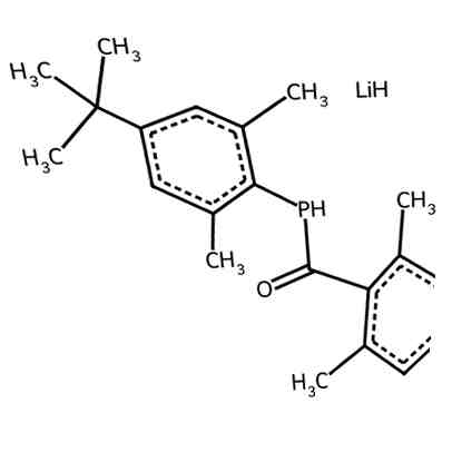 Cc1cc(C(C)(C)C)cc(C)c1PC(=O)c1c(C)cccc1C.[LiH]